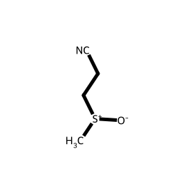 C[S+]([O-])CCC#N